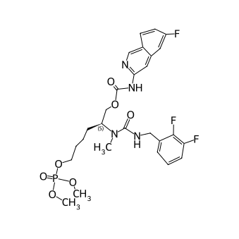 COP(=O)(OC)OCCCC[C@@H](COC(=O)Nc1cc2cc(F)ccc2cn1)N(C)C(=O)NCc1cccc(F)c1F